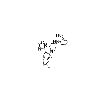 Cc1nc(-c2cc3ccc(F)cc3nc2N2CCC(N[C@H]3CCCC[C@@H]3O)CC2)no1